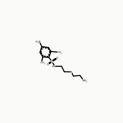 Cc1cc(N)cc(C)c1S(=O)(=O)NCCSCCN